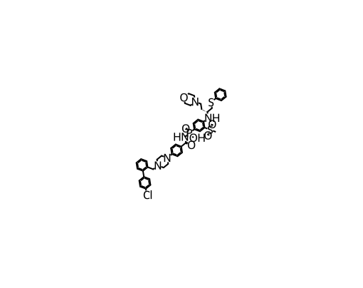 CS(=O)(=O)c1cc(P(=O)(O)NC(=O)c2ccc(N3CCN(Cc4ccccc4-c4ccc(Cl)cc4)CC3)cc2)ccc1N[C@H](CCN1CCOCC1)CSc1ccccc1